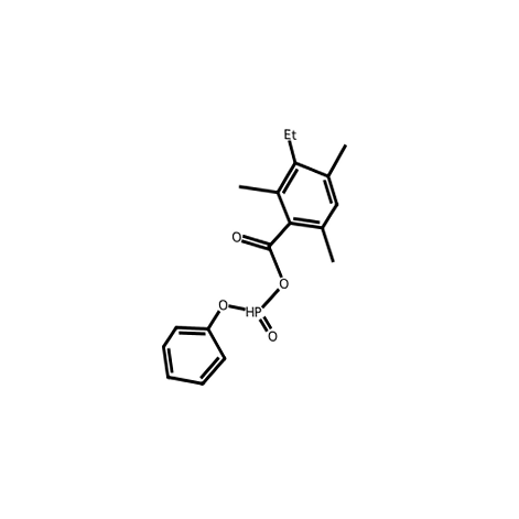 CCc1c(C)cc(C)c(C(=O)O[PH](=O)Oc2ccccc2)c1C